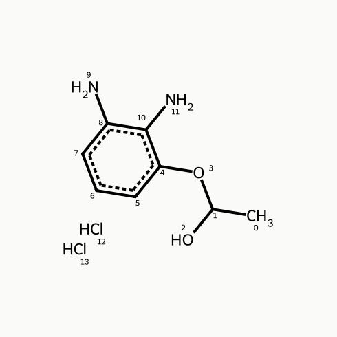 CC(O)Oc1cccc(N)c1N.Cl.Cl